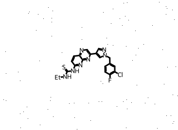 CCNC(=S)Nc1ccc2ncc(-c3cnn(Cc4ccc(F)c(Cl)c4)c3)nc2n1